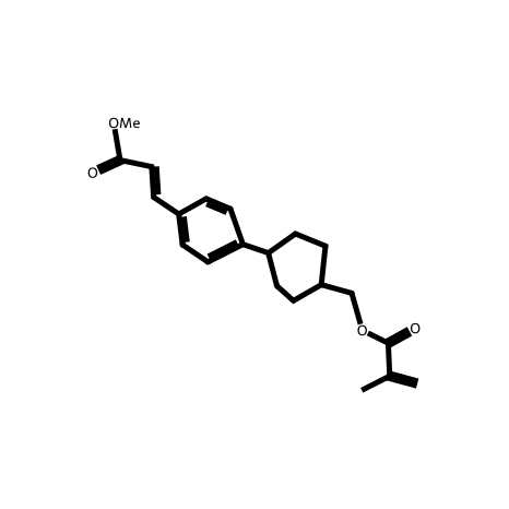 C=C(C)C(=O)OCC1CCC(c2ccc(C=CC(=O)OC)cc2)CC1